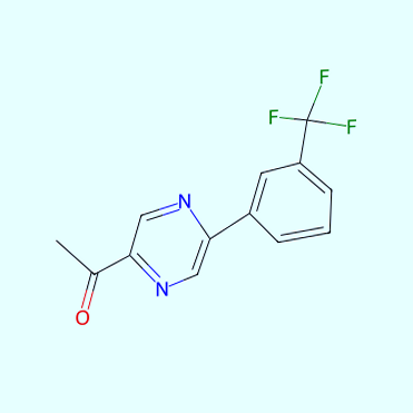 CC(=O)c1cnc(-c2cccc(C(F)(F)F)c2)cn1